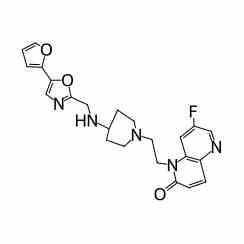 O=c1ccc2ncc(F)cc2n1CCN1CCC(NCc2ncc(-c3ccco3)o2)CC1